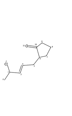 CC(Cl)/C=C/CC1CCCC1=O